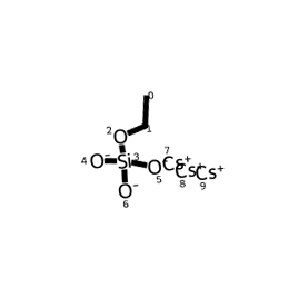 CCO[Si]([O-])([O-])[O-].[Cs+].[Cs+].[Cs+]